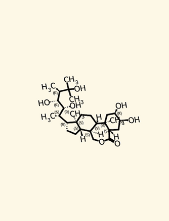 C[C@H]([C@@H](O)[C@H](O)[C@@H](C)C(C)(C)O)[C@H]1CC[C@H]2[C@@H]3COC(=O)[C@H]4C[C@H](O)[C@H](O)C[C@]4(C)[C@H]3CC[C@]12C